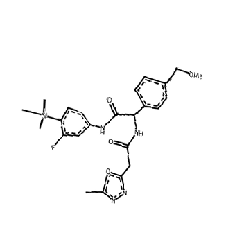 COCc1ccc(C(NC(=O)Cc2nnc(C)o2)C(=O)Nc2ccc([Si](C)(C)C)c(F)c2)cc1